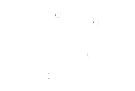 CCC(C)=O.ClC=C(Cl)Cl